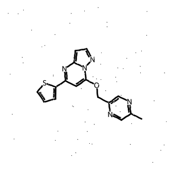 Cc1cnc(COc2cc(-c3cccs3)nc3ccnn23)cn1